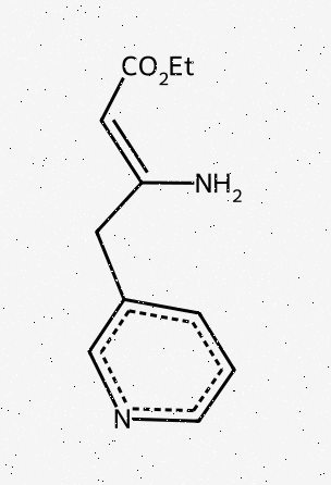 CCOC(=O)/C=C(\N)Cc1cccnc1